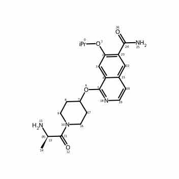 CC(C)Oc1cc2c(OC3CCN(C(=O)[C@@H](C)N)CC3)nccc2cc1C(N)=O